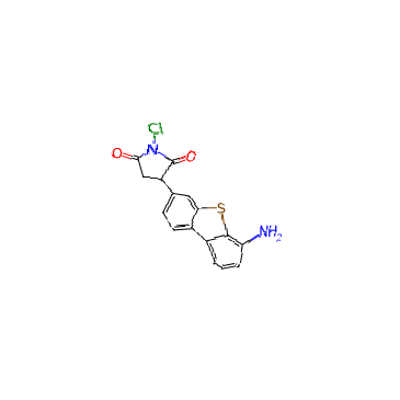 Nc1cccc2c1sc1cc(C3CC(=O)N(Cl)C3=O)ccc12